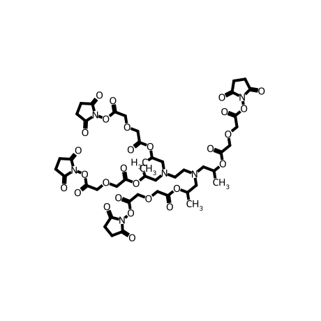 CC(CN(CCN(CC(C)OC(=O)COCC(=O)ON1C(=O)CCC1=O)CC(C)OC(=O)COCC(=O)ON1C(=O)CCC1=O)CC(C)OC(=O)COCC(=O)ON1C(=O)CCC1=O)OC(=O)COCC(=O)ON1C(=O)CCC1=O